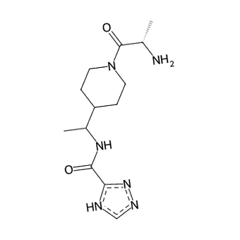 CC(NC(=O)c1nnc[nH]1)C1CCN(C(=O)[C@H](C)N)CC1